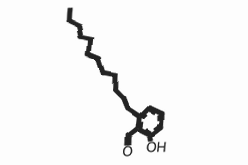 CCCCCCCCCCCCc1cccc(O)c1C=O